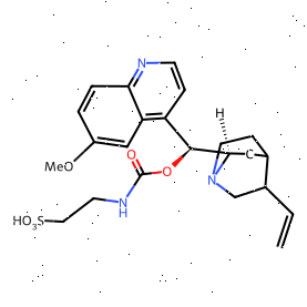 C=CC1CN2CCC1C[C@@H]2[C@@H](OC(=O)NCCS(=O)(=O)O)c1ccnc2ccc(OC)cc12